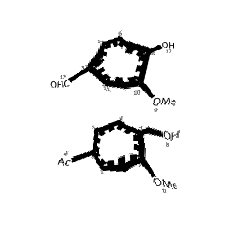 COc1cc(C(C)=O)ccc1O.COc1cc(C=O)ccc1O